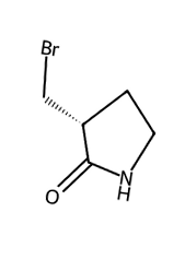 O=C1NCC[C@H]1CBr